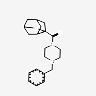 O=C(N1CCN(Cc2ccccc2)CC1)C12CC3CC(CC1C3)C2